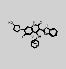 O=c1[nH]c2cc(N3CC[C@@H](O)C3)c(F)cc2c(N[C@H]2CN3CCC2CC3)c1-c1nc2ccccc2[nH]1